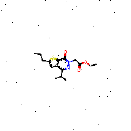 CCCc1cc2c(C(C)C)nn(CC(=O)OCC)c(=O)c2s1